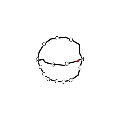 C1COCCN2CCOCCOCCN(CCOCCOCC2)COC1